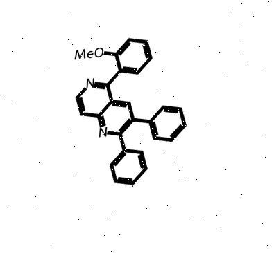 COc1ccccc1-c1nccc2nc(-c3cc[c]cc3)c(-c3ccccc3)cc12